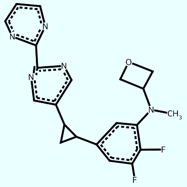 CN(c1cc(C2CC2c2cnc(-c3ncccn3)nc2)cc(F)c1F)C1COC1